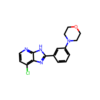 Clc1ccnc2[nH]c(-c3cccc(N4CCOCC4)c3)nc12